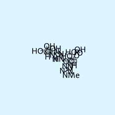 CNc1ncnc2c1ncn2[C@H]1[C@H](OCNc2ncnc3c2ncn3[C@H]2[C@H](O)[C@H](O)[C@]3(CO)C[C@H]23)[C@H](O)[C@]2(COP(=O)(O)O)CC[C@H]12